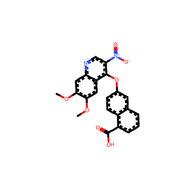 COc1cc2ncc([N+](=O)[O-])c(Oc3ccc4c(C(=O)O)cccc4c3)c2cc1OC